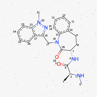 CN[C@@H](C)C(=O)N[C@H]1CCc2ccccc2N(Cc2nn(C)c3ccccc23)C1=O